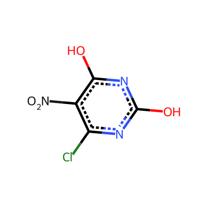 O=[N+]([O-])c1c(O)nc(O)nc1Cl